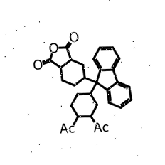 CC(=O)C1CCC(C2(C3CCC4C(=O)OC(=O)C4C3)c3ccccc3-c3ccccc32)CC1C(C)=O